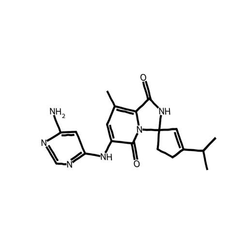 Cc1cc(Nc2cc(N)ncn2)c(=O)n2c1C(=O)NC21C=C(C(C)C)CC1